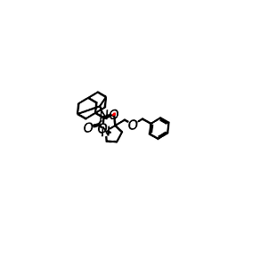 COC(=O)C12CC3CC(C1)C(N1CC4(COCc5ccccc5)CCCN4C1=O)C(C3)C2